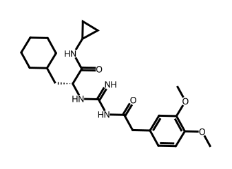 COc1ccc(CC(=O)NC(=N)N[C@H](CC2CCCCC2)C(=O)NC2CC2)cc1OC